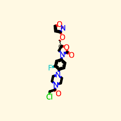 O=C(CCl)N1CCN(c2ccc(N3C[C@H](COc4ccon4)OC3=O)cc2F)CC1